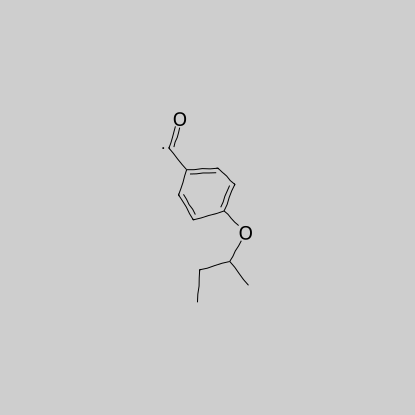 CCC(C)Oc1ccc([C]=O)cc1